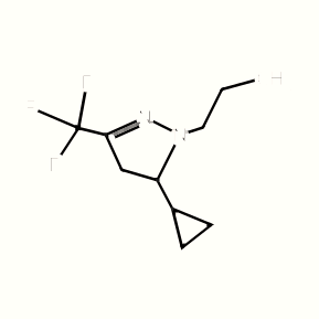 CCCN1N=C(C(F)(F)F)CC1C1CC1